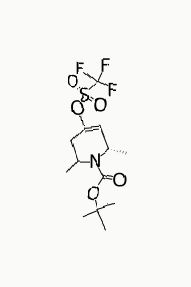 CC1CC(OS(=O)(=O)C(F)(F)F)=C[C@H](C)N1C(=O)OC(C)(C)C